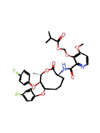 COc1ccnc(C(=O)N[C@H]2CCC[C@H](Oc3ccc(F)cc3)[C@@H](Oc3ccc(F)cc3)[C@H](C)OC2=O)c1OCOC(=O)C(C)C